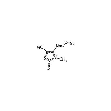 CCOC=Nc1c(C#N)sc(=S)n1C